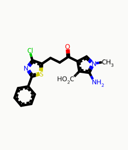 Cn1cc(C(=O)CCc2sc(-c3ccccc3)nc2Cl)c(C(=O)O)c1N